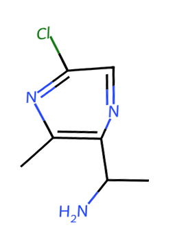 Cc1nc(Cl)cnc1C(C)N